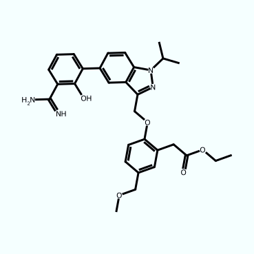 CCOC(=O)Cc1cc(COC)ccc1OCc1nn(C(C)C)c2ccc(-c3cccc(C(=N)N)c3O)cc12